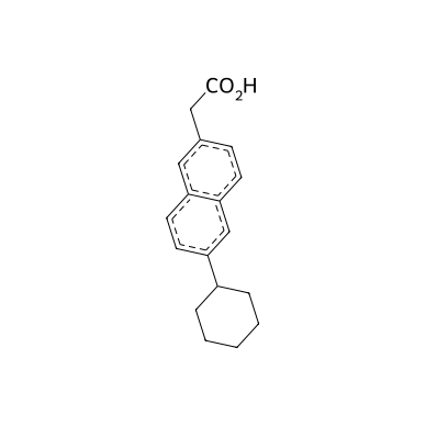 O=C(O)Cc1ccc2cc(C3CCCCC3)ccc2c1